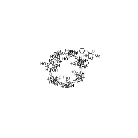 COC(=O)[C@H](Cc1ccccc1)NC(=O)[C@@H](N)CC(=O)O.OC[C@H]1O[C@@H]2O[C@H]3[C@H](O)[C@@H](O)[C@@H](O[C@H]4[C@H](O)[C@@H](O)[C@@H](O[C@H]5[C@H](O)[C@@H](O)[C@@H](O[C@H]6[C@H](O)[C@@H](O)[C@@H](O[C@H]7[C@H](O)[C@@H](O)[C@@H](O[C@H]8[C@H](O)[C@@H](O)[C@@H](O[C@H]1[C@H](O)[C@H]2O)O[C@@H]8CO)O[C@@H]7CO)O[C@@H]6CO)O[C@@H]5CO)O[C@@H]4CO)O[C@@H]3CO